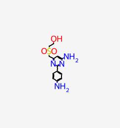 Nc1ccc(-c2nc(N)cc(CS(=O)(=O)CCO)n2)cc1